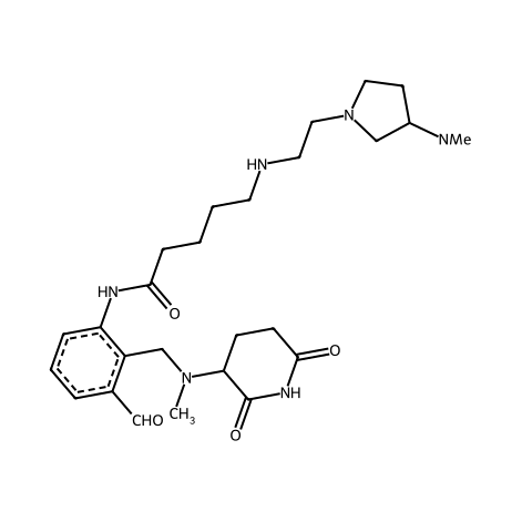 CNC1CCN(CCNCCCCC(=O)Nc2cccc(C=O)c2CN(C)C2CCC(=O)NC2=O)C1